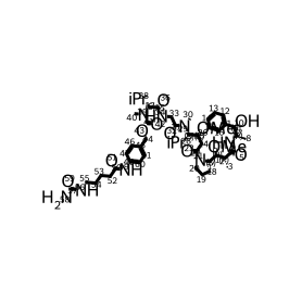 CO[C@H]([C@@H](C)C(=O)N[C@H](C)[C@@H](O)c1ccccc1)[C@@H]1CCCN1C(=O)C[C@@H](OC)[C@H](C(C)C)N(C)C(=O)CNC(=O)[C@H](C(C)C)N(C)C(=O)OCc1ccc(NC(=O)CCCCNC(N)=O)cc1